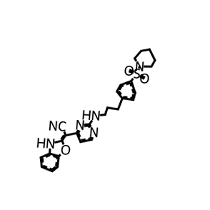 N#C/C(=C1\Nc2ccccc2O1)c1ccnc(NCCCc2ccc(S(=O)(=O)N3CCCCC3)cc2)n1